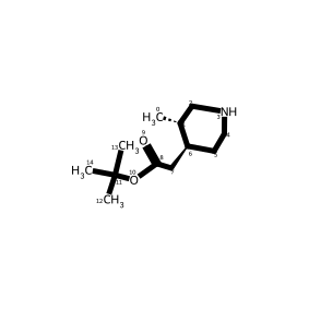 C[C@@H]1CNCC[C@H]1CC(=O)OC(C)(C)C